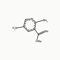 COC(=N)c1cc(N)cnc1N